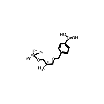 CC(C)[Si](OC[C@H](C)COCc1ccc(B(O)O)cc1)(C(C)C)C(C)C